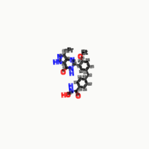 CCCc1n[nH]c2c(=O)[nH]c(-c3cc(Cc4ccc(C(=O)NO)cc4)ccc3OCC)nc12